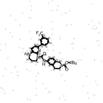 CC(C)(C)OC(=O)N1CCc2cc(NC(=O)N3CCCNc4ccc(-c5cccc(C(F)(F)F)c5)nc43)ccc2C1